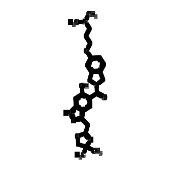 CN(C)CCCOc1ccc2c(c1)CN(C(=O)c1cc3c(CC4=NC(C)(C)CO4)n[nH]c3cc1O)C2